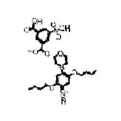 CCCCOC1=CC(N2CCOCC2)=C(OCCCC)CC1=[N+]=[N-].O=C(O)c1cc(C(=O)O)cc(S(=O)(=O)O)c1